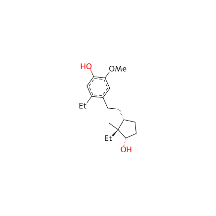 CCc1cc(O)c(OC)cc1CC[C@@H]1CC[C@H](O)[C@@]1(C)CC